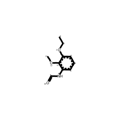 CCOc1cccc(NC=O)c1OC